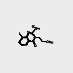 COCCn1c([S+](C)[O-])nc2c(I)cccc2c1=O